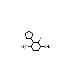 CC1CCC(C)C(C2CCCC2)C1F